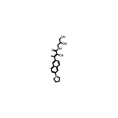 C/C(=C(/C#N)C(=O)NCC(O)CO)c1ccc2cc(N3CCCC3)ccc2c1